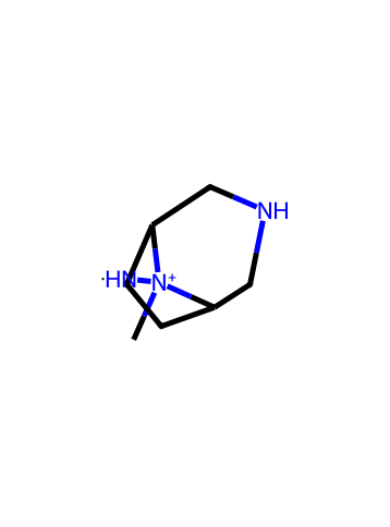 C[N+]1([NH])C2CCC1CNC2